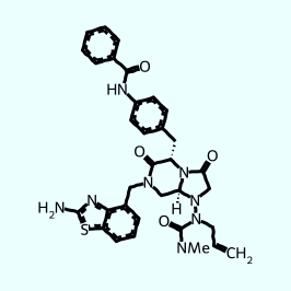 C=CCN(C(=O)NC)N1CC(=O)N2[C@@H](Cc3ccc(NC(=O)c4ccccc4)cc3)C(=O)N(Cc3cccc4sc(N)nc34)C[C@@H]21